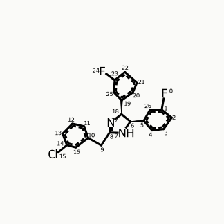 Fc1cccc([C@H]2NC(Cc3cccc(Cl)c3)=N[C@H]2c2cccc(F)c2)c1